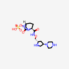 O=C(NOC[C@@H]1C[C@@H](N2CCNCC2)CN1)[C@@H]1CC[C@@H]2CN1C(=O)N2OS(=O)(=O)O